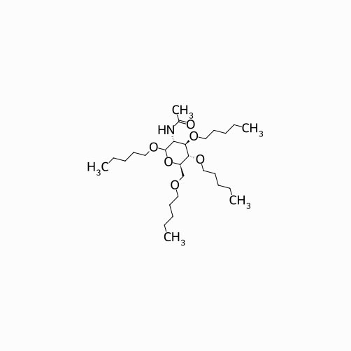 CCCCCOC[C@H]1OC(OCCCCC)[C@H](NC(C)=O)[C@@H](OCCCCC)[C@@H]1OCCCCC